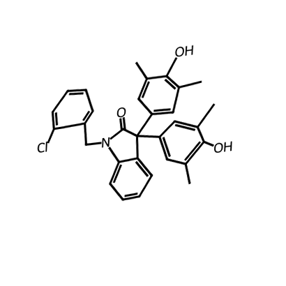 Cc1cc(C2(c3cc(C)c(O)c(C)c3)C(=O)N(Cc3ccccc3Cl)c3ccccc32)cc(C)c1O